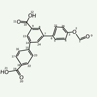 O=COc1ccc(-c2cc(C(=O)O)cc(-c3ccc(C(=O)O)cc3)c2)cc1